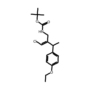 CCOc1ccc(C(C)C(=CCl)CNC(=O)OC(C)(C)C)cc1